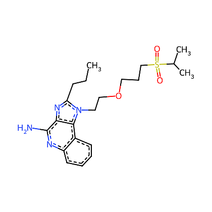 CCCc1nc2c(N)nc3ccccc3c2n1CCOCCCS(=O)(=O)C(C)C